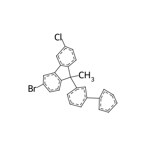 CC1(c2cccc(-c3ccccc3)c2)c2ccc(Cl)cc2-c2cc(Br)ccc21